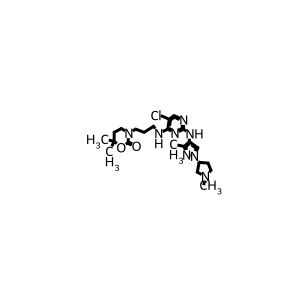 Cc1nn(C2CCN(C)C2)cc1Nc1ncc(Cl)c(NCCCN2CCC(C)(C)OC2=O)n1